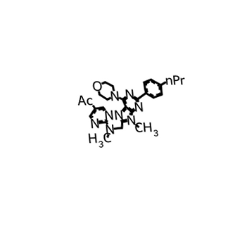 CCCc1ccc(-c2nc(N3CCOCC3)c3nc(CN(C)c4ncc(C(C)=O)cn4)n(C)c3n2)cc1